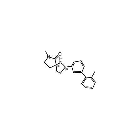 Cc1ccccc1-c1cccc([C@H]2CC[C@]3(CCN(C)C3=O)N2)c1